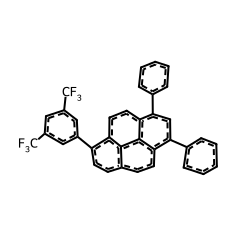 FC(F)(F)c1cc(-c2ccc3ccc4c(-c5ccccc5)cc(-c5ccccc5)c5ccc2c3c45)cc(C(F)(F)F)c1